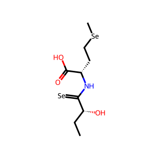 CC[C@@H](O)C(=[Se])N[C@@H](CC[Se]C)C(=O)O